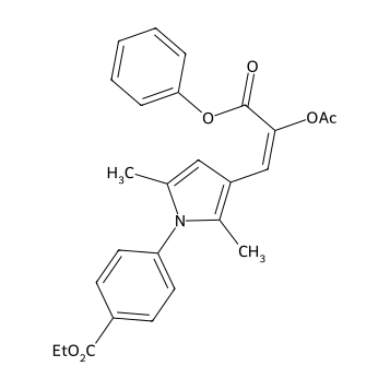 CCOC(=O)c1ccc(-n2c(C)cc(C=C(OC(C)=O)C(=O)Oc3ccccc3)c2C)cc1